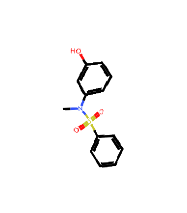 CN(c1cccc(O)c1)S(=O)(=O)c1ccccc1